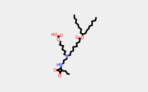 CCCCCCCCC(CCCCCCCC)OC(=O)CCCCCCCN(CCCCCCOC(=O)O)CCCNc1c(CCC)c(=O)c1=O